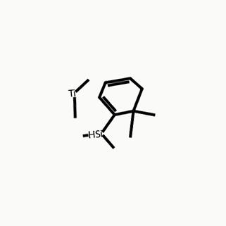 C[SiH](C)C1=CC=CCC1(C)C.[CH3][Ti][CH3]